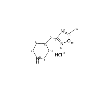 Cc1nc(CC2CCNCC2)no1.Cl